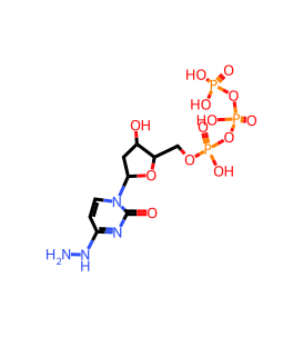 NNc1ccn(C2CC(O)C(COP(=O)(O)OP(=O)(O)OP(=O)(O)O)O2)c(=O)n1